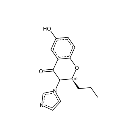 CCC[C@@H]1Oc2ccc(O)cc2C(=O)C1n1ccnc1